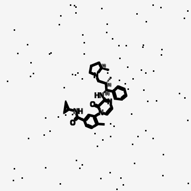 Cc1ccc(C(=O)NC2CC2)cc1-n1ccnc(N[C@@H](c2ccccc2)[C@@H](C)CN2CCC[C@H]2C)c1=O